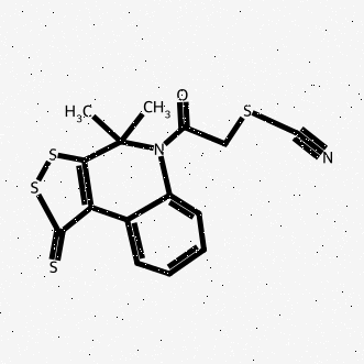 CC1(C)c2ssc(=S)c2-c2ccccc2N1C(=O)CSC#N